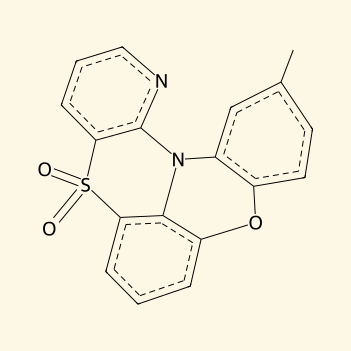 Cc1ccc2c(c1)N1c3ncccc3S(=O)(=O)c3cccc(c31)O2